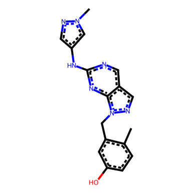 Cc1ccc(O)cc1Cn1ncc2cnc(Nc3cnn(C)c3)nc21